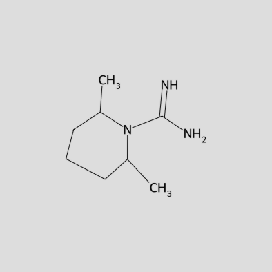 CC1CCCC(C)N1C(=N)N